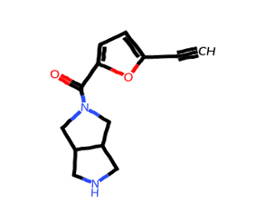 C#Cc1ccc(C(=O)N2CC3CNCC3C2)o1